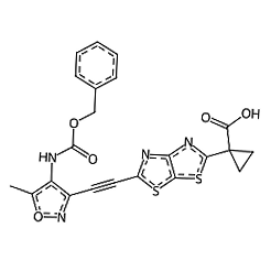 Cc1onc(C#Cc2nc3nc(C4(C(=O)O)CC4)sc3s2)c1NC(=O)OCc1ccccc1